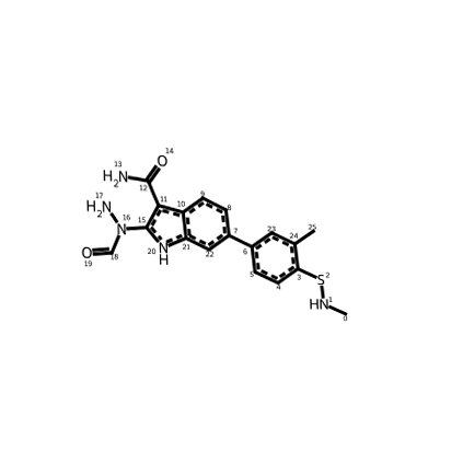 CNSc1ccc(-c2ccc3c(C(N)=O)c(N(N)C=O)[nH]c3c2)cc1C